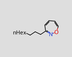 CCCCCCCCCC1=NOC=CC=C1